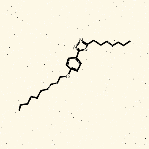 CCCCCCCCCCOc1ccc(-c2nnc(CCCCCCC)s2)cc1